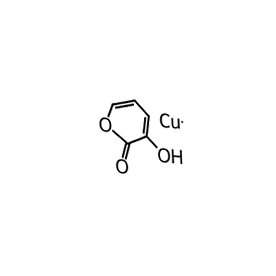 O=c1occcc1O.[Cu]